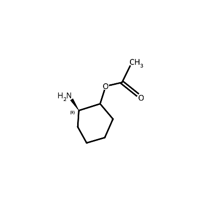 CC(=O)OC1CCCC[C@H]1N